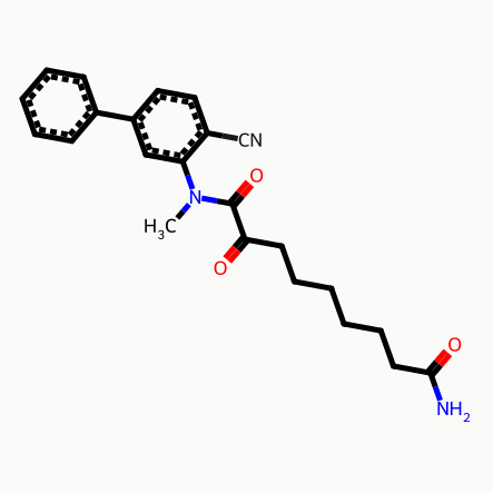 CN(C(=O)C(=O)CCCCCCC(N)=O)c1cc(-c2ccccc2)ccc1C#N